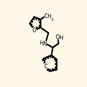 Cc1ccoc1CNC(CO)c1ccccc1